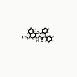 O=C1C(N[C@H](Cc2ccccc2)C(=O)Nc2ccccc2)=C/C(=N/O)c2ccccc21